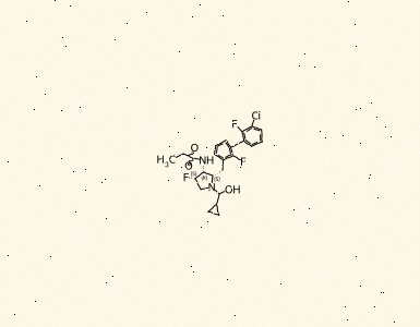 CCS(=O)(=O)N[C@H]1[C@@H](F)CN(C(O)C2CC2)[C@H]1Cc1cccc(-c2cccc(Cl)c2F)c1F